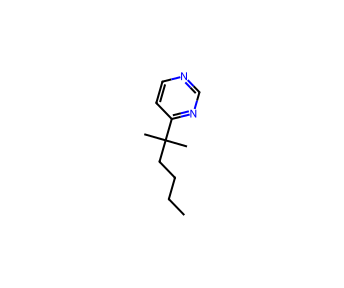 CCCCC(C)(C)c1ccncn1